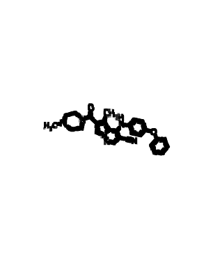 Cc1c(C(=O)N2CCN(C)CC2)cn2ncc(C#N)c(Nc3ccc(Oc4ccccc4)cc3)c12